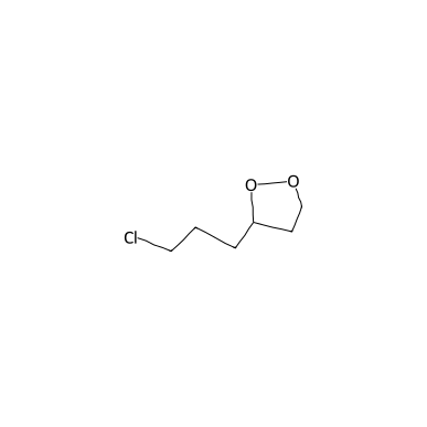 ClCCCC1CCOO1